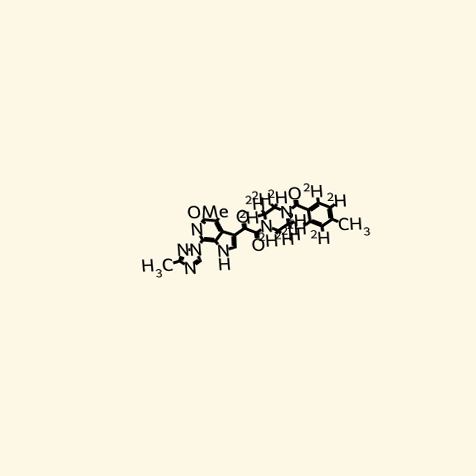 [2H]c1c([2H])c(C(=O)N2C([2H])([2H])C([2H])([2H])N(C(=O)C(=O)c3c[nH]c4c(-n5cnc(C)n5)ncc(OC)c34)C([2H])([2H])C2([2H])[2H])c([2H])c([2H])c1C